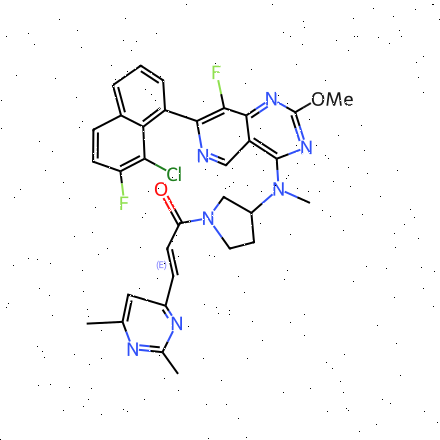 COc1nc(N(C)C2CCN(C(=O)/C=C/c3cc(C)nc(C)n3)C2)c2cnc(-c3cccc4ccc(F)c(Cl)c34)c(F)c2n1